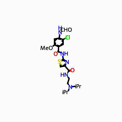 COc1cc(NC=O)c(Cl)cc1C(=O)Nc1nc(C(=O)NCCN(C(C)C)C(C)C)cs1